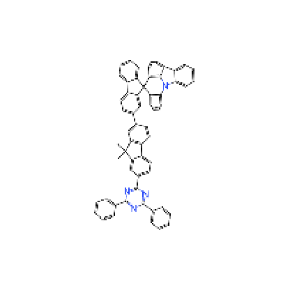 CC1(C)c2cc(-c3ccc4c(c3)C3(c5ccccc5-4)c4ccccc4-n4c5ccccc5c5cccc3c54)ccc2-c2ccc(-c3nc(-c4ccccc4)nc(-c4ccccc4)n3)cc21